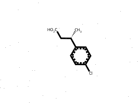 C[C@@H](CC(=O)O)c1ccc(Cl)cc1